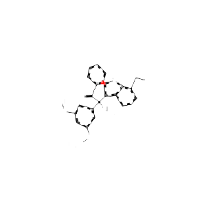 COc1cc(OC)cc(C(N)(C(=O)c2ccccc2)c2c[nH]c3c(CO)cccc23)c1